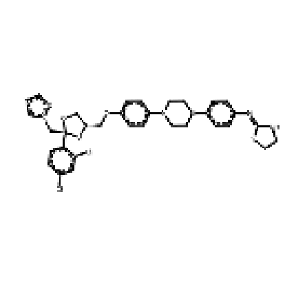 Clc1ccc([C@]2(Cn3cncn3)OC[C@@H](COc3ccc(N4CCN(c5ccc(N=C6NCCS6)cc5)CC4)cc3)O2)c(Cl)c1